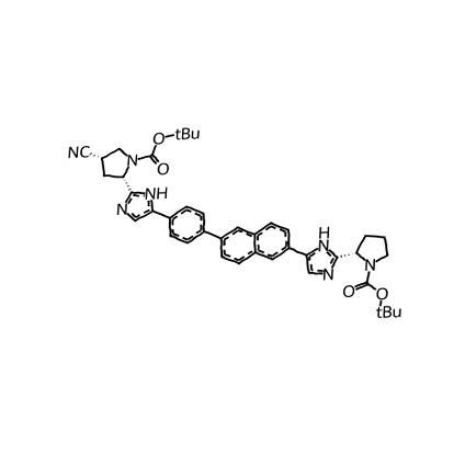 CC(C)(C)OC(=O)N1CCC[C@H]1c1ncc(-c2ccc3cc(-c4ccc(-c5cnc([C@@H]6C[C@H](C#N)CN6C(=O)OC(C)(C)C)[nH]5)cc4)ccc3c2)[nH]1